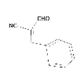 N#CC(C=O)=Cc1ccccc1